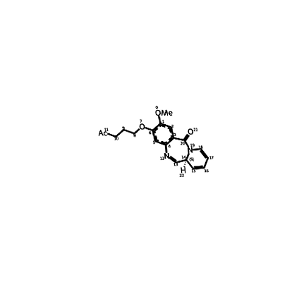 COc1cc2c(cc1OCCCC(C)=O)N=C[C@@H]1C=CC=CN1C2=O